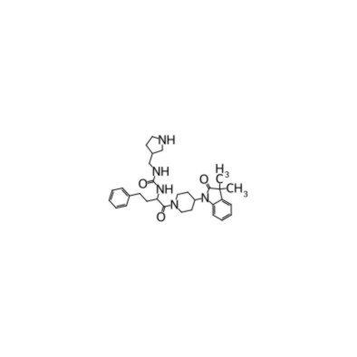 CC1(C)C(=O)N(C2CCN(C(=O)C(CCc3ccccc3)NC(=O)NCC3CCNC3)CC2)c2ccccc21